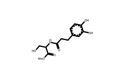 COC(=O)C(CO)NC(=O)CCc1ccc(O)c(O)c1